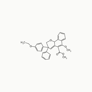 CCOc1ccc(C2(c3ccccc3)C=C3C(C(=O)OC)=C(OC)c4ccccc4C3OC2)cc1